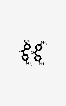 Nc1ccc(C(=O)c2ccc(N)cc2)cc1.Nc1ccc(C(=O)c2cccc(N)c2)cc1